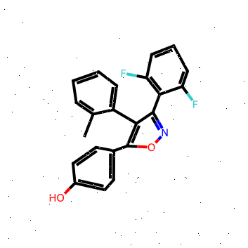 Cc1ccccc1-c1c(-c2c(F)cccc2F)noc1-c1ccc(O)cc1